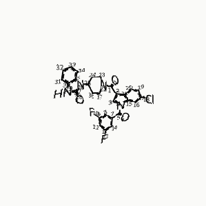 O=C(c1cn(C(=O)c2cc(F)cc(F)c2)c2cc(Cl)ccc12)N1CCC(n2c(=O)[nH]c3ccccc32)CC1